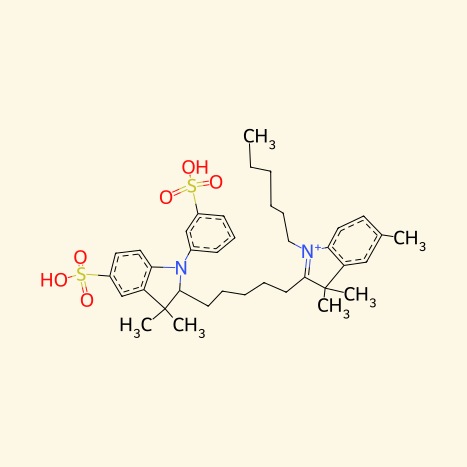 CCCCCC[N+]1=C(CCCCCC2N(c3cccc(S(=O)(=O)O)c3)c3ccc(S(=O)(=O)O)cc3C2(C)C)C(C)(C)c2cc(C)ccc21